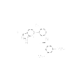 CCc1ccc(NC(=O)c2cc(OC)cc(OC)c2)cc1-c1ccc2c(CC)n[nH]c2n1